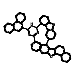 c1ccc(C2=NC(c3cccc4oc5ccc(-c6cccc7oc8c9ccccc9ccc8c67)cc5c34)NC(c3cc4ccccc4c4ccccc34)=N2)cc1